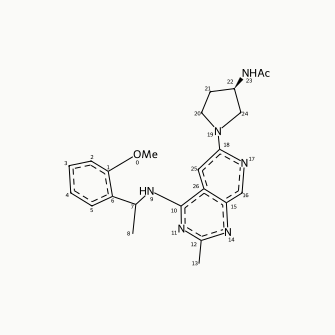 COc1ccccc1C(C)Nc1nc(C)nc2cnc(N3CC[C@@H](NC(C)=O)C3)cc12